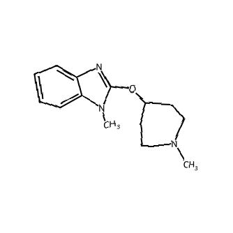 CN1CCC(Oc2nc3ccccc3n2C)CC1